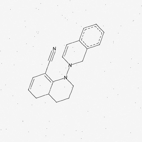 N#CC1=C2C(CC=C1)CCCN2N1C=Cc2ccccc2C1